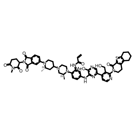 C=CC(=O)Nc1cc(Nc2nc(-c3ccnc(N4CCc5c(sc6c5CCCC6)C4=O)c3CO)cnc2OC)ccc1N1CCN(C2CCN(c3ccc4c(c3)C(=O)N(C3CCC(=O)N(C)C3=O)C4=O)[C@@H](C)C2)C[C@@H]1C